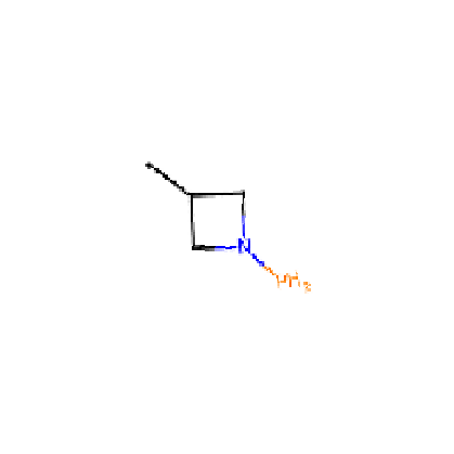 CC1CN(P)C1